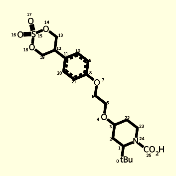 CC(C)(C)C1CC(OCCOc2ccc(C3COS(=O)(=O)OC3)cc2)CCN1C(=O)O